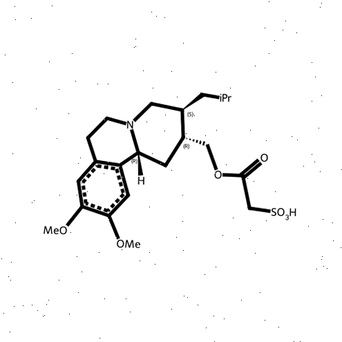 COc1cc2c(cc1OC)[C@H]1C[C@@H](COC(=O)CS(=O)(=O)O)[C@H](CC(C)C)CN1CC2